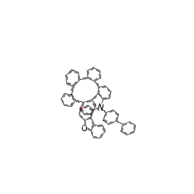 c1ccc(-c2ccc(N(c3cccc4oc5ccccc5c34)c3cccc4c5ccccc5c5ccccc5c5ccccc5c5ccccc5c34)cc2)cc1